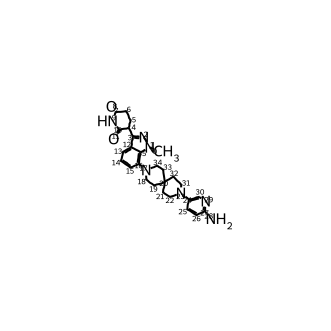 Cn1nc(C2CCC(=O)NC2=O)c2cccc(N3CCC4(CCN(c5ccc(N)nc5)CC4)CC3)c21